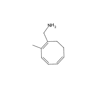 CC1=C(\CN)CCC=C/C=C\1